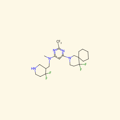 CN(CC1CNCCC1(F)F)c1cc(N2CCC(F)(F)C3(CCCCC3)C2)nc(C(F)(F)F)n1